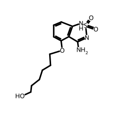 NC1=NS(=O)(=O)Nc2cccc(OCCCCCCO)c21